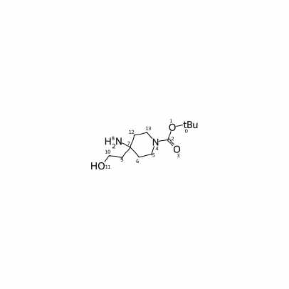 CC(C)(C)OC(=O)N1CCC(N)(CCO)CC1